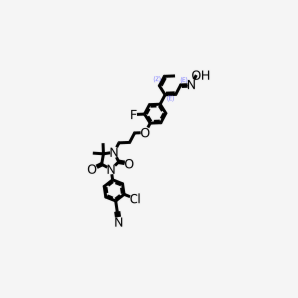 C\C=C/C(=C\C=N\O)c1ccc(OCCCN2C(=O)N(c3ccc(C#N)c(Cl)c3)C(=O)C2(C)C)c(F)c1